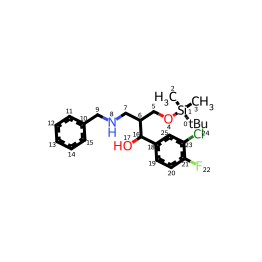 CC(C)(C)[Si](C)(C)OCC(CNCc1ccccc1)C(O)c1ccc(F)c(Cl)c1